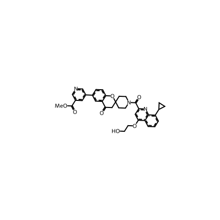 COC(=O)c1cncc(-c2ccc3c(c2)C(=O)CC2(CCN(C(=O)c4cc(OCCO)c5cccc(C6CC6)c5n4)CC2)O3)c1